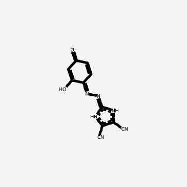 N#Cc1[nH]c(=N/N=C2\C=CC(=O)C=C2O)[nH]c1C#N